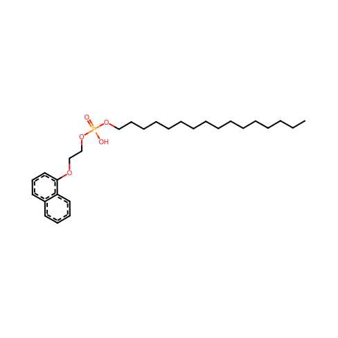 CCCCCCCCCCCCCCCCOP(=O)(O)OCCOc1cccc2ccccc12